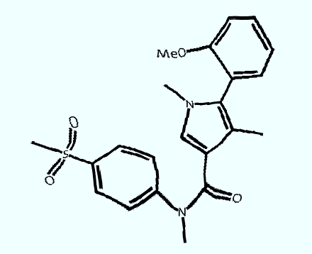 COc1ccccc1-c1c(C)c(C(=O)N(C)c2ccc(S(C)(=O)=O)cc2)cn1C